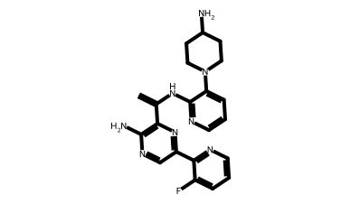 C=C(Nc1ncccc1N1CCC(N)CC1)c1nc(-c2ncccc2F)cnc1N